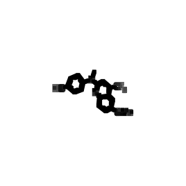 COc1ccc2nc(N(C)c3ccc(O)cc3)cc(C(F)(F)F)c2c1